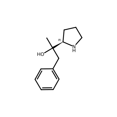 CC(O)(Cc1ccccc1)[C@H]1CCCN1